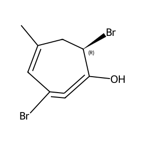 CC1=CC(Br)=C=C(O)[C@H](Br)C1